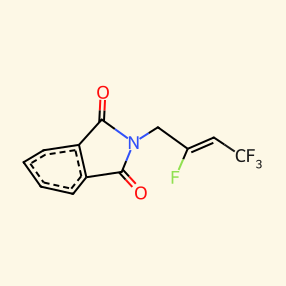 O=C1c2ccccc2C(=O)N1CC(F)=CC(F)(F)F